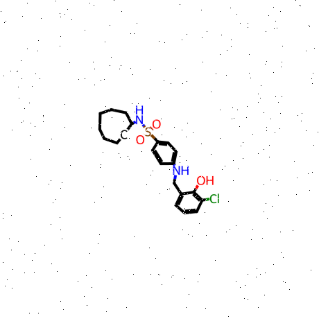 O=S(=O)(NC1CCCCCCC1)c1ccc(NCc2cccc(Cl)c2O)cc1